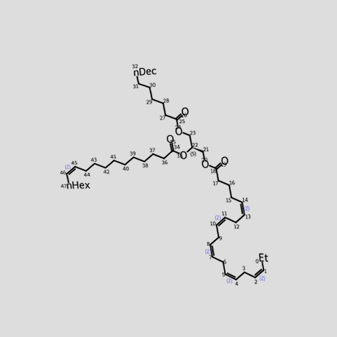 CC/C=C\C/C=C\C/C=C\C/C=C\C/C=C\CCCC(=O)OC[C@H](COC(=O)CCCCCCCCCCCCCCC)OC(=O)CCCCCCCCC/C=C\CCCCCC